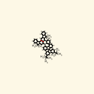 CC(C)(C)c1ccc(C2(c3ccc(C(C)(C)C)cc3)c3ccccc3-c3c(N(c4ccc5c(c4)C(C)(C)c4ccccc4-5)c4ccccc4-c4cccc5c4C(C)(C)c4ccccc4-5)cccc32)cc1